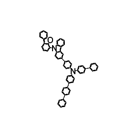 c1ccc(-c2ccc(-c3ccc(N(c4ccc(-c5ccccc5)cc4)c4ccc(-c5ccc6c(c5)c5ccccc5n6-c5cccc6c5oc5ccccc56)cc4)cc3)cc2)cc1